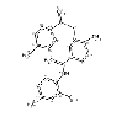 C=C(Cc1cc(C(=C)Nc2ccc(C)cc2C)ccc1C)c1ccc(C)cc1